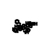 CC(C)C[C@H](NC(=O)[C@H](Cc1ccccc1)NC(=O)c1cnccn1)C(=O)N1CCC[C@H]1C(=O)OB(O)O